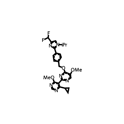 COc1cnc(-c2c(OC)ncnc2C2CC2)nc1OCc1ccc(-c2nc(C(F)F)cn2C(C)C)cc1